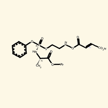 CC(C)OC(=O)[C@H](C)N[P@@](=O)(Oc1ccccc1)SCCNOC(=O)/C=C/C(=O)O